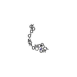 Cc1ccc(/C(C(=O)O)=C(\O)C2CCC(OCCN3CCN(CCOCCOCC(=O)OC(C)(C)C)CC3)CC2)c(C)c1